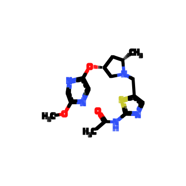 COc1cnc(O[C@@H]2C[C@H](C)N(Cc3cnc(NC(C)=O)s3)C2)cn1